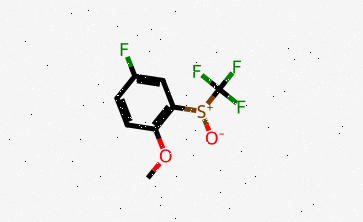 COc1ccc(F)cc1[S+]([O-])C(F)(F)F